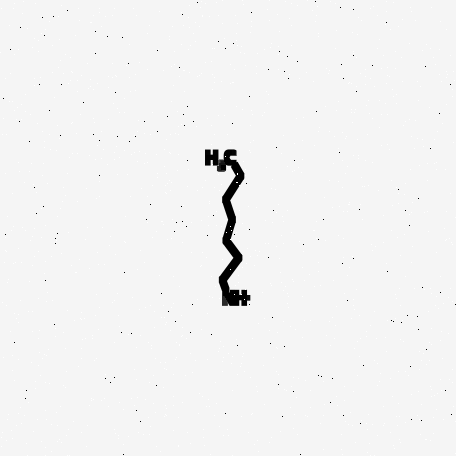 CCCCCCC[NH]